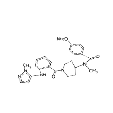 COc1ccc(C(=O)N(C)C2CCN(C(=O)c3ccccc3Nc3ccnn3C)CC2)cc1